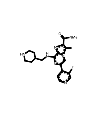 CNC(=O)c1nc2c(NCC3CCNCC3)nc(-c3ccncc3F)cn2c1C